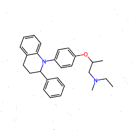 CCN(C)CC(C)Oc1ccc(N2c3ccccc3CCC2c2ccccc2)cc1